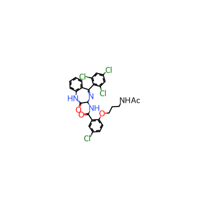 CC(=O)NCCCOc1ccc(Cl)cc1C(=O)NC1N=C(c2c(Cl)cc(Cl)cc2Cl)c2ccccc2NC1=O